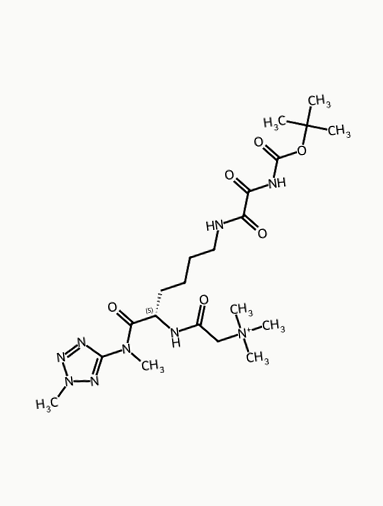 CN(C(=O)[C@H](CCCCNC(=O)C(=O)NC(=O)OC(C)(C)C)NC(=O)C[N+](C)(C)C)c1nnn(C)n1